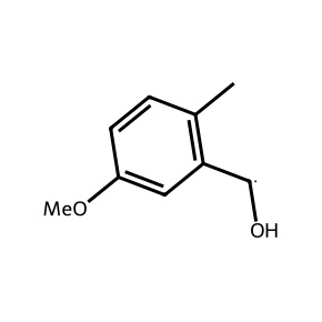 COc1ccc(C)c([CH]O)c1